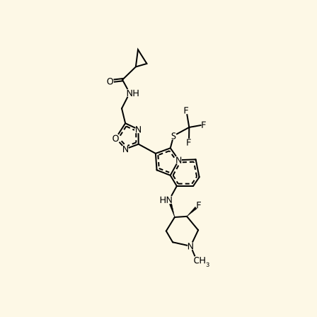 CN1CC[C@@H](Nc2cccn3c(SC(F)(F)F)c(-c4noc(CNC(=O)C5CC5)n4)cc23)[C@@H](F)C1